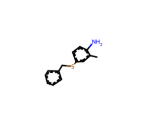 Cc1cc(SCc2ccccc2)ccc1N